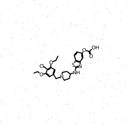 CCOc1cc(CN2CCC(Nc3nc4cc(OC(=O)O)ccc4s3)CC2)cc(OCC)c1Cl